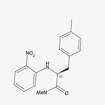 CNC(=O)[C@H](Cc1ccc(C)cc1)Nc1ccccc1[N+](=O)[O-]